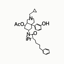 CC(=O)OC1CC(N(CC(C)C)C(=O)CCCCCc2ccccc2)CC2(c3cccc(O)c3)CCN(CC3CC3)CC12